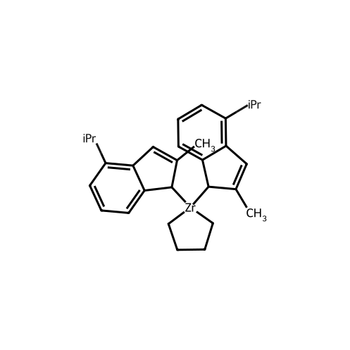 CC1=Cc2c(C(C)C)cccc2[CH]1[Zr]1([CH]2C(C)=Cc3c(C(C)C)cccc32)[CH2]CC[CH2]1